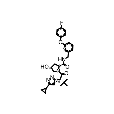 CC(C)(C)[C@@H](C(=O)N1C[C@H](O)C[C@H]1C(=O)NCc1cccc(Oc2ccc(F)cc2)n1)n1cc(C2CC2)nn1